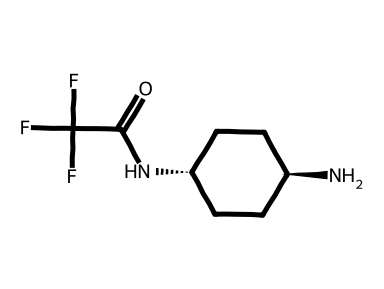 N[C@H]1CC[C@H](NC(=O)C(F)(F)F)CC1